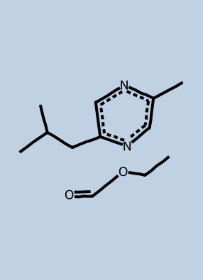 CCOC=O.Cc1cnc(CC(C)C)cn1